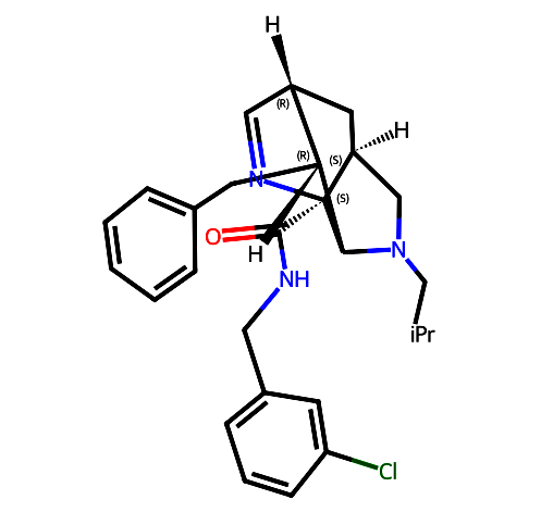 CC(C)CN1C[C@@H]2C[C@H]3C=N[C@]2(C(=O)NCc2cccc(Cl)c2)C1[C@@H]3Cc1ccccc1